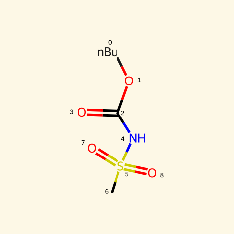 CCCCOC(=O)NS(C)(=O)=O